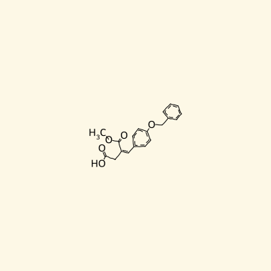 COC(=O)C(=Cc1ccc(OCc2ccccc2)cc1)CC(=O)O